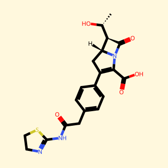 C[C@@H](O)[C@H]1C(=O)N2C(C(=O)O)=C(c3ccc(CC(=O)NC4=NCCS4)cc3)C[C@H]12